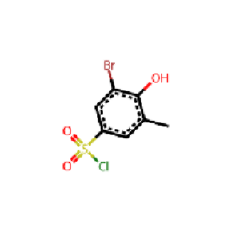 Cc1cc(S(=O)(=O)Cl)cc(Br)c1O